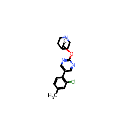 Cc1ccc(-c2cnc(OC3CN4CCC3CC4)nc2)c(Cl)c1